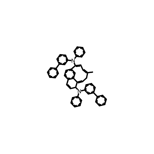 C/C1=C\C=C(\N(c2ccccc2)c2cccc(-c3ccccc3)c2)c2ccc3c(c2)/C(=C\C1)C(N(c1ccccc1)c1cccc(-c2ccccc2)c1)C=C3